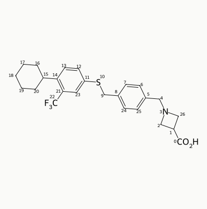 O=C(O)C1CN(Cc2ccc(CSc3ccc(C4CCCCC4)c(C(F)(F)F)c3)cc2)C1